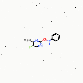 CNc1nc(ONc2ccccc2)ncc1F